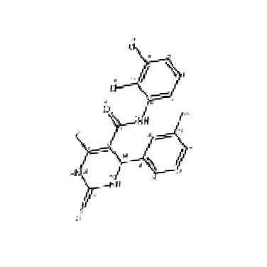 CC1=C(C(=O)Nc2cccc(Cl)c2Cl)C(c2cccc(C)c2)NC(=S)N1